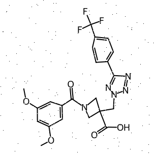 COc1cc(OC)cc(C(=O)N2CC(Cn3nnc(-c4ccc(C(F)(F)F)cc4)n3)(C(=O)O)C2)c1